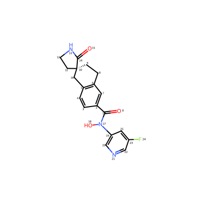 O=C(c1ccc2c(c1)CC[C@@]1(CCNC1=O)C2)N(O)c1cncc(F)c1